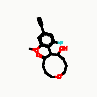 C#Cc1cc(F)c(C2C(=O)CCCOCCCC2O)c(OC)c1